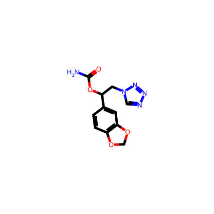 NC(=O)OC(Cn1cnnn1)c1ccc2c(c1)OCO2